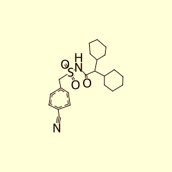 N#Cc1ccc(CS(=O)(=O)NC(=O)C(C2CCCCC2)C2CCCCC2)cc1